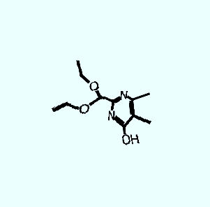 CCOC(OCC)c1nc(C)c(C)c(O)n1